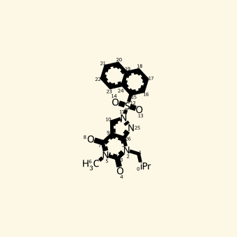 CC(C)Cn1c(=O)n(C)c(=O)c2cn(S(=O)(=O)c3cccc4ccccc34)nc21